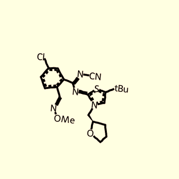 CON=Cc1ccc(Cl)cc1C(=NC#N)N=c1sc(C(C)(C)C)cn1C[C@H]1CCCO1